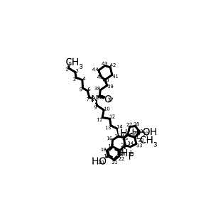 CCCCCCCCN(CCCCCC[C@@H]1Cc2cc(O)ccc2[C@@H]2[C@@H]1[C@@H]1CC[C@H](O)[C@@]1(C)C[C@@H]2F)C(=O)CCC1CCCCC1